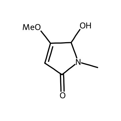 COC1=CC(=O)N(C)C1O